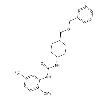 COc1ccc(C(F)(F)F)cc1NC(=O)N[C@H]1CC[C@H](COCc2cccnc2)CC1